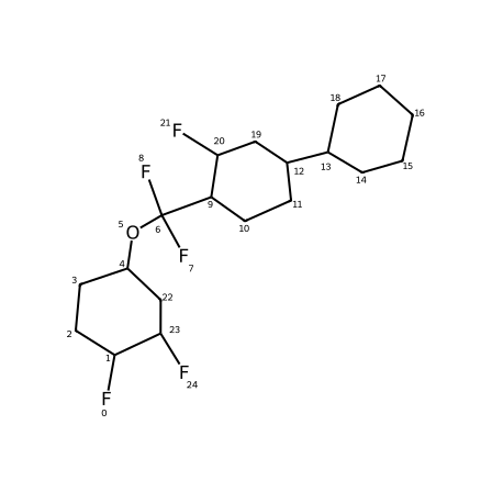 FC1CCC(OC(F)(F)C2CCC(C3CCCCC3)CC2F)CC1F